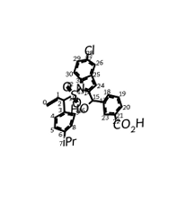 C=CC(c1ccc(C(C)C)cc1)S(=O)(=O)n1c(C(O)c2cccc(C(=O)O)c2)cc2cc(Cl)ccc21